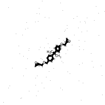 CC(C)(C1=CCC(COCC2CO2)C=C1)c1ccc(OCC2CO2)cc1